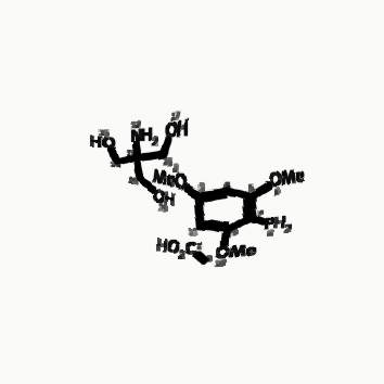 CC(=O)O.COc1cc(OC)c(P)c(OC)c1.NC(CO)(CO)CO